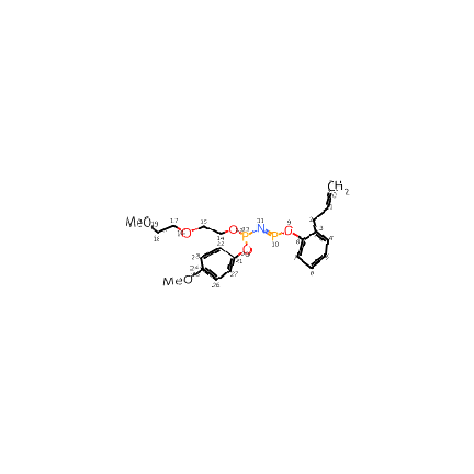 C=CCc1ccccc1OP=NP(OCCOCCOC)Oc1ccc(OC)cc1